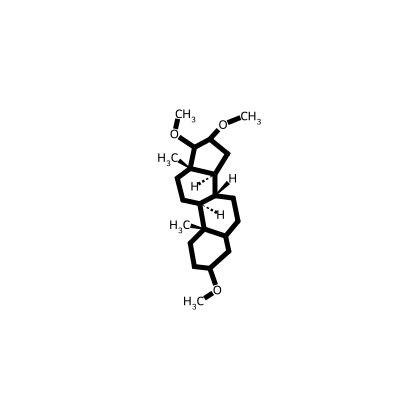 COC1CC[C@@]2(C)C(CC[C@@H]3[C@@H]2CC[C@]2(C)C(OC)C(OC)C[C@@H]32)C1